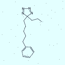 [CH2]CCC1(CCCCCc2ccccc2)N=NN=N1